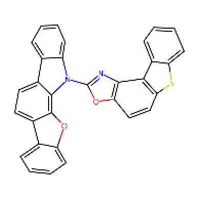 c1ccc2c(c1)oc1c2ccc2c3ccccc3n(-c3nc4c(ccc5sc6ccccc6c54)o3)c21